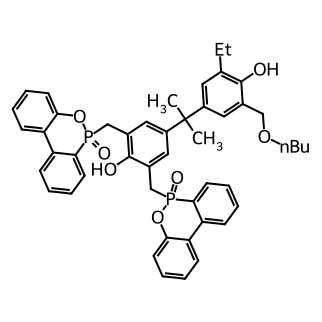 CCCCOCc1cc(C(C)(C)c2cc(CP3(=O)Oc4ccccc4-c4ccccc43)c(O)c(CP3(=O)Oc4ccccc4-c4ccccc43)c2)cc(CC)c1O